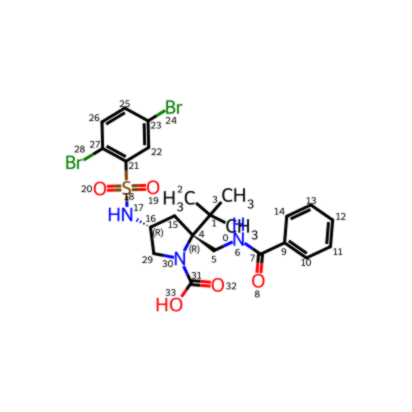 CC(C)(C)[C@@]1(CNC(=O)c2ccccc2)C[C@@H](NS(=O)(=O)c2cc(Br)ccc2Br)CN1C(=O)O